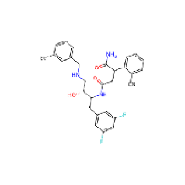 CCc1cccc(CNC[C@@H](O)[C@H](Cc2cc(F)cc(F)c2)NC(=O)CC(C(N)=O)c2ccccc2C#N)c1